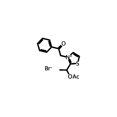 CC(=O)OC(C)c1scc[n+]1CC(=O)c1ccccc1.[Br-]